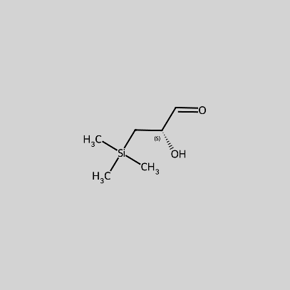 C[Si](C)(C)C[C@@H](O)C=O